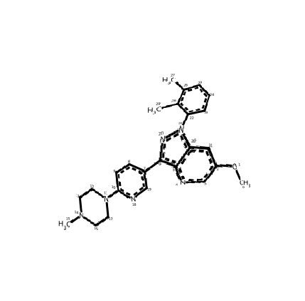 COc1cnc2c(-c3ccc(N4CCN(C)CC4)nc3)nn(-c3cccc(C)c3C)c2c1